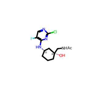 CC(=O)NC[C@@]1(O)CCC[C@H](Nc2nc(Cl)ncc2F)C1